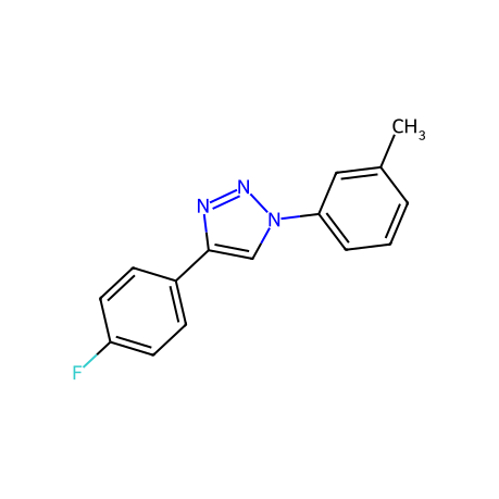 Cc1cccc(-n2cc(-c3ccc(F)cc3)nn2)c1